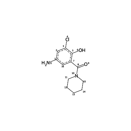 Nc1cc(Cl)c(O)c(C(=O)N2CCCCC2)c1